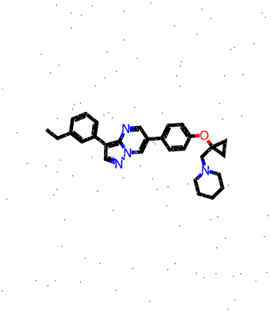 CCc1cccc(-c2cnn3cc(-c4ccc(OC5(CN6CCCCC6)CC5)cc4)cnc23)c1